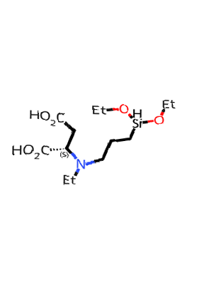 CCO[SiH](CCCN(CC)[C@@H](CC(=O)O)C(=O)O)OCC